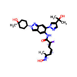 CC(/C=C\C=C(/I)C(=O)Nc1cc2cn([C@H]3CC[C@](C)(O)CC3)nc2cc1-n1cc(C(C)(C)O)cn1)=N\O